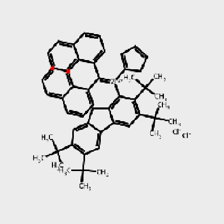 CC(C)(C)c1cc2c(cc1C(C)(C)C)-c1cc(C(C)(C)C)c(C(C)(C)C)[c]([Zr+2]([C]3=CC=CC3)=[C](c3cccc4ccccc34)c3cccc4ccccc34)c1C2.[Cl-].[Cl-]